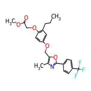 CCCc1cc(OCc2oc(-c3ccc(C(F)(F)F)cc3)nc2C)ccc1OCC(=O)OC